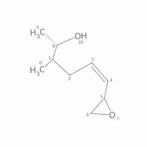 CC(C/C=C\C1CO1)[C@H](C)O